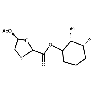 CC(=O)O[C@@H]1CSC(C(=O)OC2CCC[C@@H](C)[C@H]2C(C)C)O1